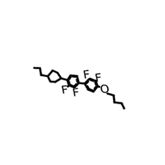 CCCCCOc1ccc(-c2ccc(C3CCC(CCC)CC3)c(F)c2F)c(F)c1F